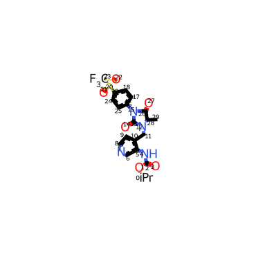 CC(C)OC(=O)Nc1cnccc1CN1C(=O)N(c2ccc(S(=O)(=O)C(F)(F)F)cc2)C(=O)C1C